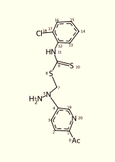 CC(=O)c1ccc(N(N)CSC(=S)Nc2ccccc2Cl)cn1